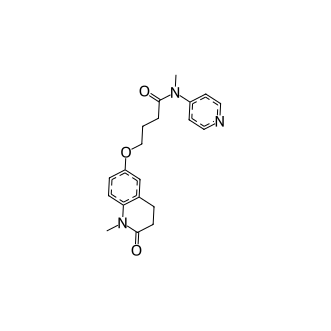 CN(C(=O)CCCOc1ccc2c(c1)CCC(=O)N2C)c1ccncc1